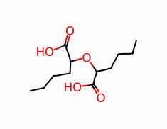 CCCCC(OC(CCCC)C(=O)O)C(=O)O